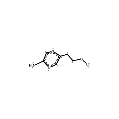 CCOCCc1cnc(N)cn1